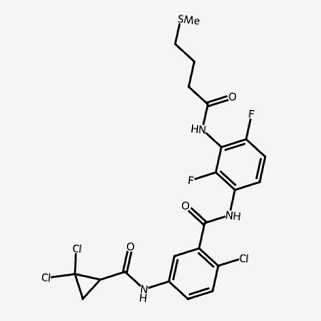 CSCCCC(=O)Nc1c(F)ccc(NC(=O)c2cc(NC(=O)C3CC3(Cl)Cl)ccc2Cl)c1F